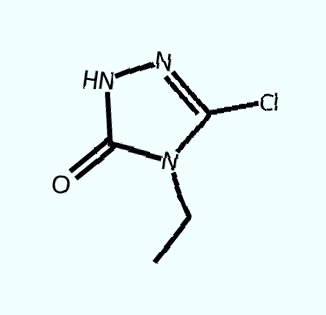 CCn1c(Cl)n[nH]c1=O